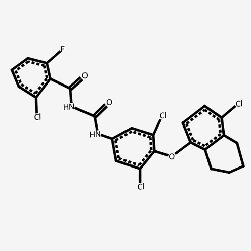 O=C(NC(=O)c1c(F)cccc1Cl)Nc1cc(Cl)c(Oc2ccc(Cl)c3c2CCCC3)c(Cl)c1